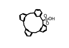 O=S(=O)(O)C1c2cccc(c2)Cc2cccc(c2)Cc2cccc(c2)Cc2cccc1c2